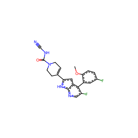 COc1ccc(F)cc1-c1c(F)cnc2[nH]c(C3=CCN(C(=O)NC#N)CC3)cc12